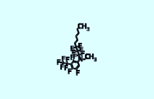 CCCCCCC(F)(F)C(F)(F)C(F)(F)N(CC)c1cc(F)c(F)c(C(F)(F)C(F)(F)F)c1F